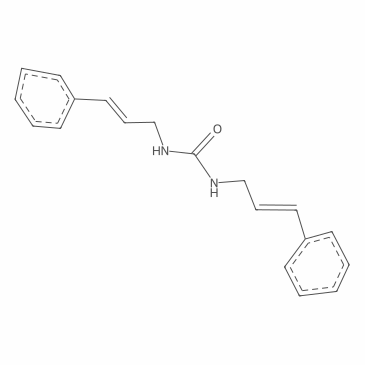 O=C(NCC=Cc1ccccc1)NCC=Cc1ccccc1